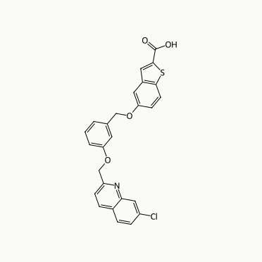 O=C(O)c1cc2cc(OCc3cccc(OCc4ccc5ccc(Cl)cc5n4)c3)ccc2s1